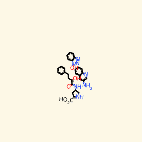 Nc1cnc2ccccc2c1.O=C(NC1CN[C@H](C(=O)O)C1)[C@H](O)CCc1ccccc1.On1nnc2ccccc21